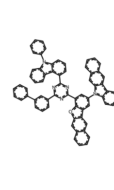 c1ccc(-c2cccc(-c3nc(-c4cc(-n5c6ccccc6c6cc7ccccc7cc65)cc5c4oc4cc6ccccc6cc45)nc(-c4cccc5c4c4ccccc4n5-c4ccccc4)n3)c2)cc1